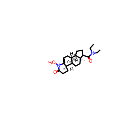 CCN(CC)C(=O)C1CC[C@H]2[C@@H]3CC=C4N(O)C(=O)CC[C@]4(C)[C@@H]3CC[C@]12C